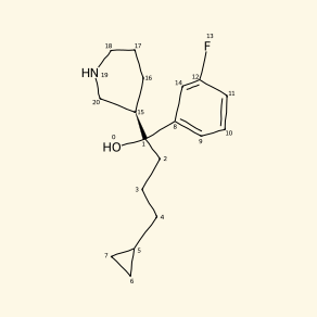 OC(CCCC1CC1)(c1cccc(F)c1)[C@@H]1CCCNC1